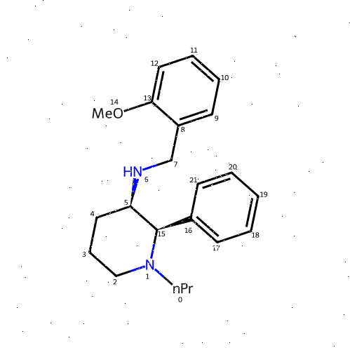 CCCN1CCC[C@@H](NCc2ccccc2OC)[C@H]1c1ccccc1